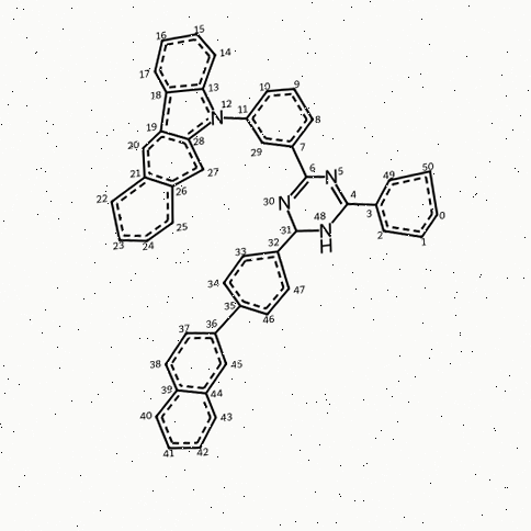 c1ccc(C2=NC(c3cccc(-n4c5ccccc5c5cc6ccccc6cc54)c3)=NC(c3ccc(-c4ccc5ccccc5c4)cc3)N2)cc1